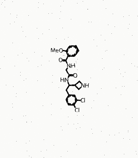 COc1ccccc1C(=O)NCC(=O)NC(Cc1ccc(Cl)c(Cl)c1)C1CNC1